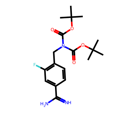 CC(C)(C)OC(=O)N(Cc1ccc(C(=N)N)cc1F)C(=O)OC(C)(C)C